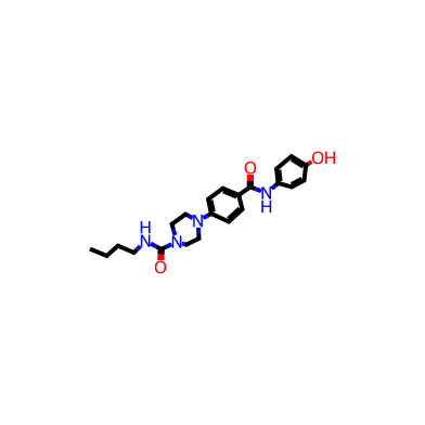 CCCCNC(=O)N1CCN(c2ccc(C(=O)Nc3ccc(O)cc3)cc2)CC1